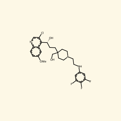 COc1ccc2ncc(Cl)c([C@H](O)CCC3(CO)CCN(CCNc4cc(F)c(F)c(F)c4)CC3)c2c1